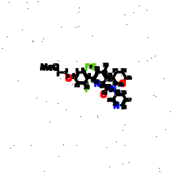 COCCOc1cc(F)c(-c2nc(C(=O)N(c3cccnc3)C3CCCCO3)c(C)c(C)c2F)c(F)c1